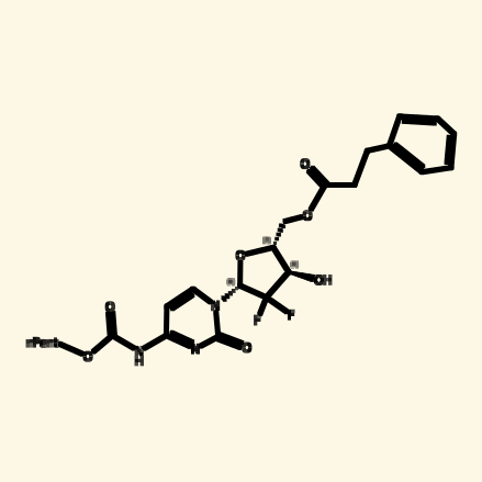 CCCCCOC(=O)Nc1ccn([C@@H]2O[C@H](COC(=O)CCc3ccccc3)[C@@H](O)C2(F)F)c(=O)n1